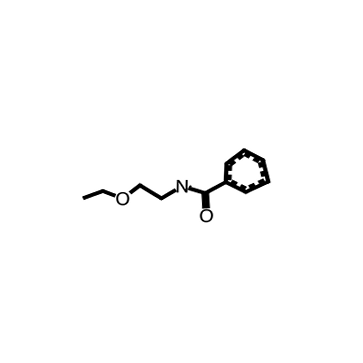 CCOCC[N]C(=O)c1ccccc1